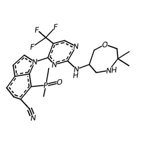 CC1(C)COCC(Nc2ncc(C(F)(F)F)c(-n3ccc4ccc(C#N)c(P(C)(C)=O)c43)n2)CN1